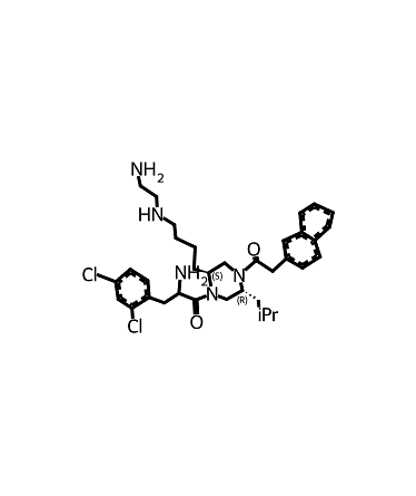 CC(C)C[C@@H]1CN(C(=O)C(N)Cc2ccc(Cl)cc2Cl)[C@@H](CCCCNCCN)CN1C(=O)Cc1ccc2ccccc2c1